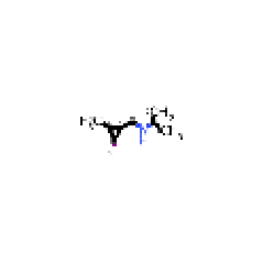 CC(C)NCC1C(C)C1I